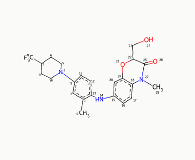 Cc1cc(N2CCC(C(F)(F)F)CC2)ccc1Nc1ccc2c(c1)OC(CO)C(=O)N2C